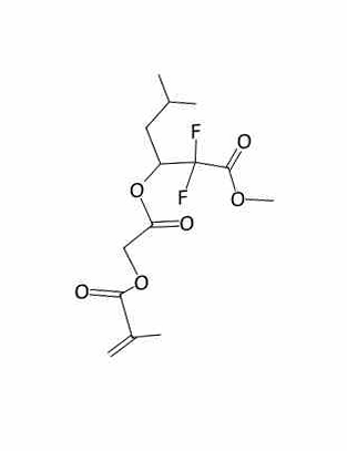 C=C(C)C(=O)OCC(=O)OC(CC(C)C)C(F)(F)C(=O)OC